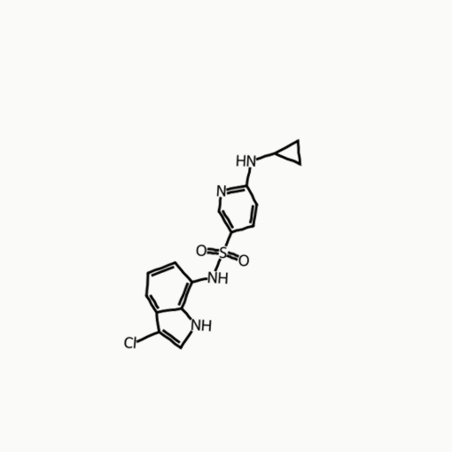 O=S(=O)(Nc1cccc2c(Cl)c[nH]c12)c1ccc(NC2CC2)nc1